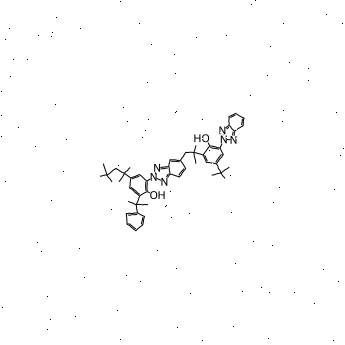 CC(C)(C)CC(C)(C)c1cc(-n2nc3ccc(CC(C)(C)c4cc(C(C)(C)C)cc(-n5nc6ccccc6n5)c4O)cc3n2)c(O)c(C(C)(C)c2ccccc2)c1